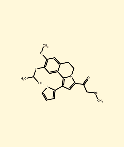 CBCC(=O)c1cc(-c2cccs2)c2n1CCc1cc(OC)c(OC(C)C)cc1-2